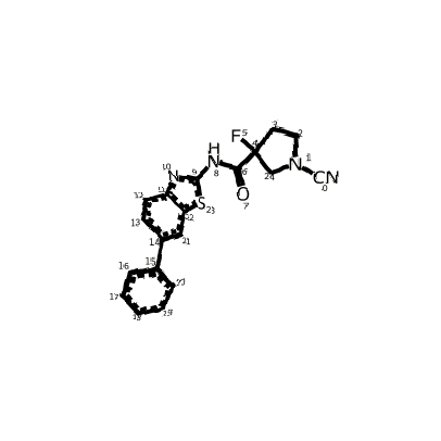 N#CN1CCC(F)(C(=O)Nc2nc3ccc(-c4ccccc4)cc3s2)C1